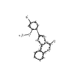 FC(F)(F)Oc1cc(Br)ccc1-c1nc2c3ccccc3nc(Cl)n2n1